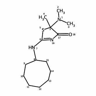 CN(C)C1(C)SC(NC2CCCCCCC2)=NC1=O